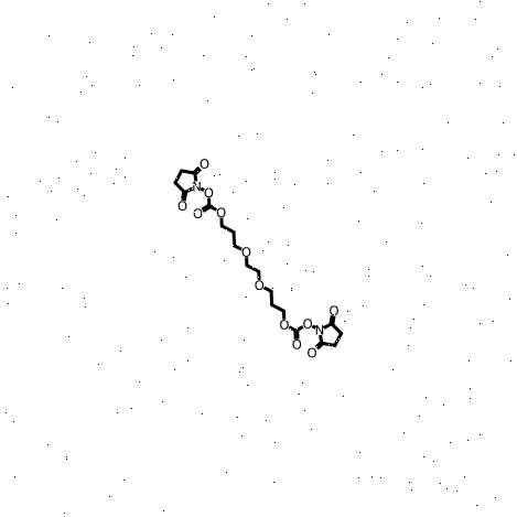 O=C(OCCCOCCOCCCOC(=O)ON1C(=O)CCC1=O)ON1C(=O)CCC1=O